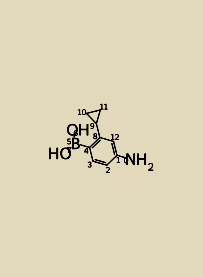 Nc1ccc(B(O)O)c(C2CC2)c1